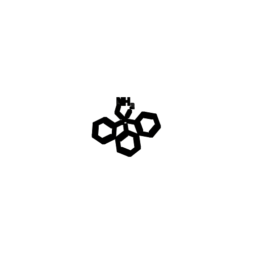 CP(CN)(c1ccccc1)(c1ccccc1)c1ccccc1